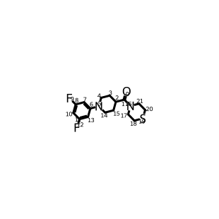 O=C(C1CCN(c2cc(F)cc(F)c2)CC1)N1CCSCC1